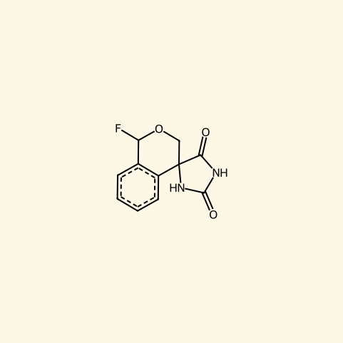 O=C1NC(=O)C2(COC(F)c3ccccc32)N1